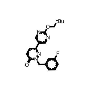 CC(C)(C)COc1ncc(-c2ccc(=O)n(Cc3cccc(F)c3)n2)cn1